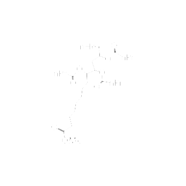 CCCCCCC(CC(OC(=O)CCC)C(CCCCCCCC(=O)OC)OC(=O)CCC)OC(=O)CCC